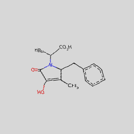 CCCCC(C(=O)O)N1C(=O)C(O)=C(C)C1Cc1ccccc1